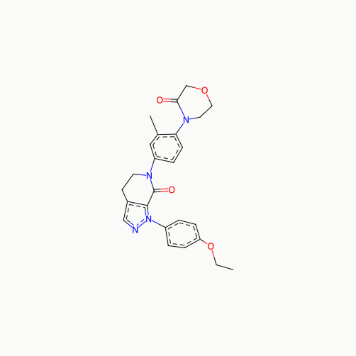 CCOc1ccc(-n2ncc3c2C(=O)N(c2ccc(N4CCOCC4=O)c(C)c2)CC3)cc1